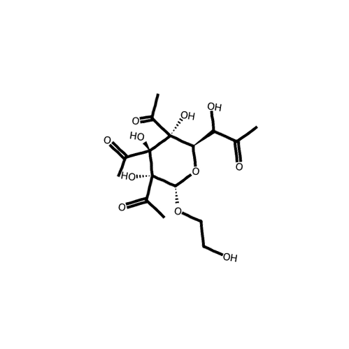 CC(=O)C(O)[C@H]1O[C@H](OCCO)[C@@](O)(C(C)=O)[C@](O)(C(C)=O)[C@@]1(O)C(C)=O